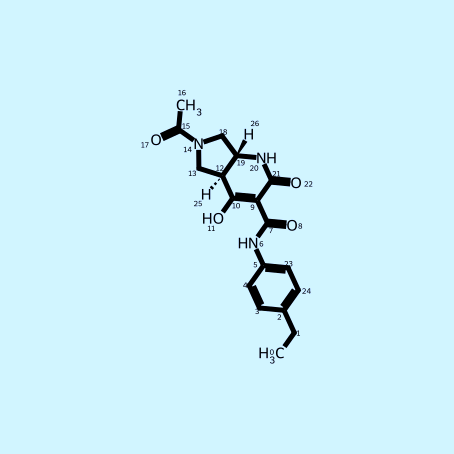 CCc1ccc(NC(=O)C2=C(O)[C@H]3CN(C(C)=O)C[C@@H]3NC2=O)cc1